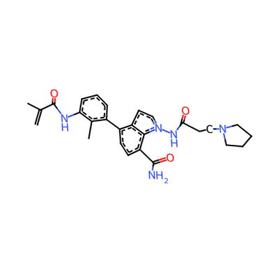 C=C(C)C(=O)Nc1cccc(-c2ccc(C(N)=O)c3c2ccn3NC(=O)CCN2CCCC2)c1C